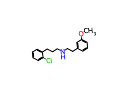 COc1cccc(CCNCCCc2ccccc2Cl)c1